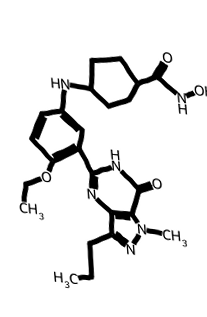 CCCc1nn(C)c2c(=O)[nH]c(-c3cc(NC4CCC(C(=O)NO)CC4)ccc3OCC)nc12